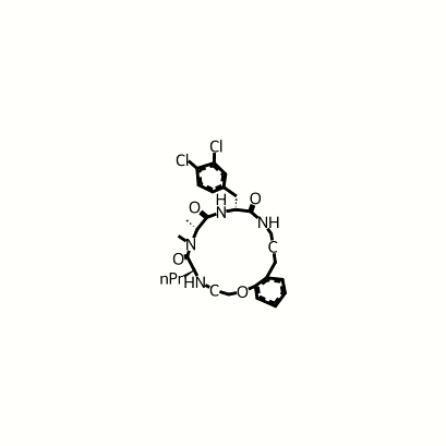 CCC[C@@H]1NCCOc2ccccc2CCCNC(=O)[C@@H](Cc2ccc(Cl)c(Cl)c2)NC(=O)[C@@H](C)N(C)C1=O